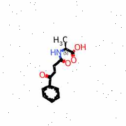 C[C@H](NC(=O)CCC(=O)c1ccccc1)C(=O)O